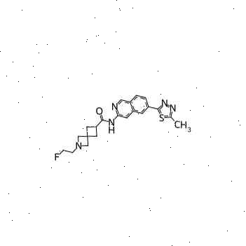 Cc1nnc(-c2ccc3cnc(NC(=O)C4CC5(C4)CN(CCF)C5)cc3c2)s1